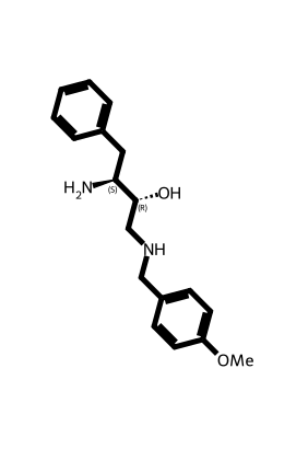 COc1ccc(CNC[C@@H](O)[C@@H](N)Cc2ccccc2)cc1